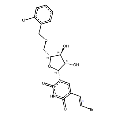 O=c1[nH]c(=O)n([C@@H]2O[C@H](COCc3ccccc3Cl)[C@@H](O)[C@@H]2O)cc1/C=C/Br